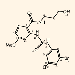 COc1ccc(C(=O)NCCCO)c(NC(=O)Nc2cc(Cl)cc(Br)c2)c1